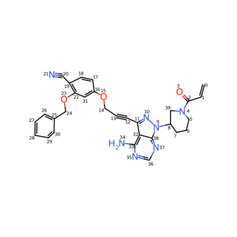 C=CC(=O)N1CCCC(n2nc(C#CCOc3ccc(C#N)c(OCc4ccccc4)c3)c3c(N)ncnc32)C1